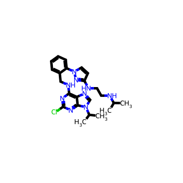 CC(C)NCCNc1ccn(-c2ccccc2CNc2nc(Cl)nc3c2ncn3C(C)C)n1